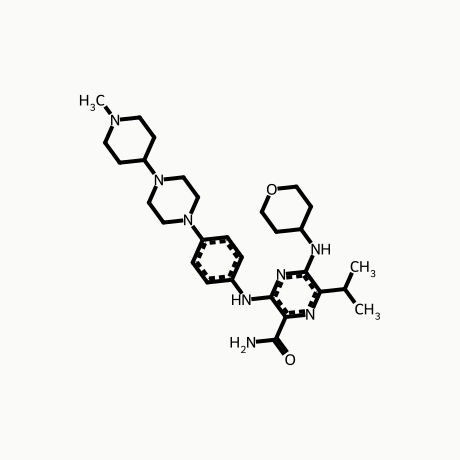 CC(C)c1nc(C(N)=O)c(Nc2ccc(N3CCN(C4CCN(C)CC4)CC3)cc2)nc1NC1CCOCC1